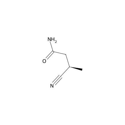 C[C@@H](C#N)CC(N)=O